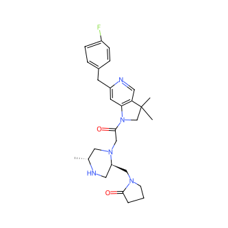 C[C@@H]1CN(CC(=O)N2CC(C)(C)c3cnc(Cc4ccc(F)cc4)cc32)[C@@H](CN2CCCC2=O)CN1